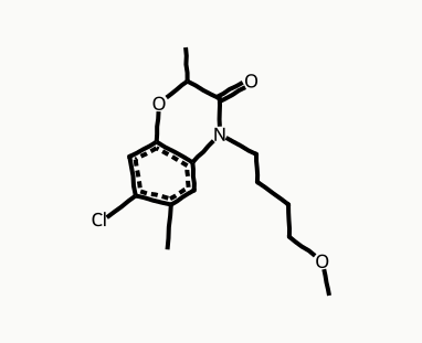 COCCCCN1C(=O)C(C)Oc2cc(Cl)c(C)cc21